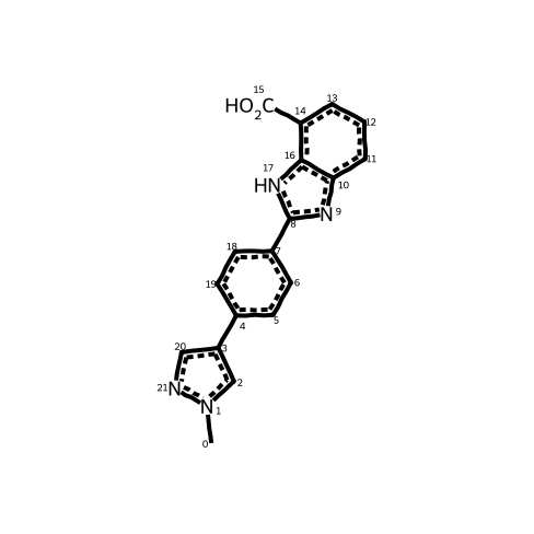 Cn1cc(-c2ccc(-c3nc4cccc(C(=O)O)c4[nH]3)cc2)cn1